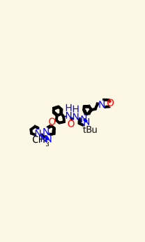 C[C@H]1CCCCN1c1nnc2ccc(O[C@@H]3CC[C@H](NC(=O)Nc4cc(C(C)(C)C)nn4-c4cccc(CCN5CCOCC5)c4)c4ccccc43)cn12